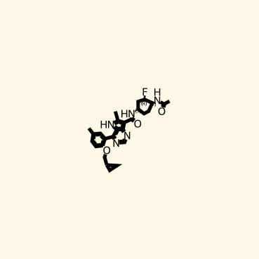 CC(=O)N[C@@H]1CC[C@H](NC(=O)c2c(C)[nH]c3c(-c4cc(C)ccc4OCC4CC4)ncnc23)C[C@H]1F